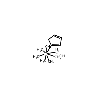 Cl.[CH3][Ti]([CH3])([CH3])([CH3])([CH3])([CH3])([CH3])[C]1=CC=CC1